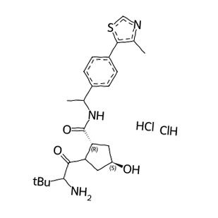 Cc1ncsc1-c1ccc(C(C)NC(=O)[C@@H]2C[C@@H](O)CC2C(=O)C(N)C(C)(C)C)cc1.Cl.Cl